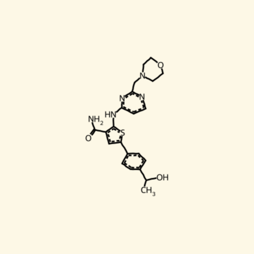 CC(O)c1ccc(-c2cc(C(N)=O)c(Nc3ccnc(CN4CCOCC4)n3)s2)cc1